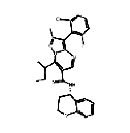 CCC(C)c1c(C(=O)N[C@H]2CCOc3ccccc32)cnc2c(-c3c(F)cccc3Cl)c(C)nn12